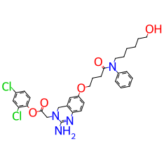 NC1=Nc2ccc(OCCCC(=O)N(CCCCCCO)c3ccccc3)cc2CN1CC(=O)Oc1ccc(Cl)cc1Cl